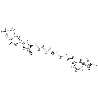 CC1(C)OCc2cc(C3CN(CCCCCOCCCCCc4cccc(S(N)(=O)=O)c4)C(=O)O3)ccc2O1